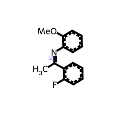 COc1ccccc1/N=C(/C)c1ccccc1F